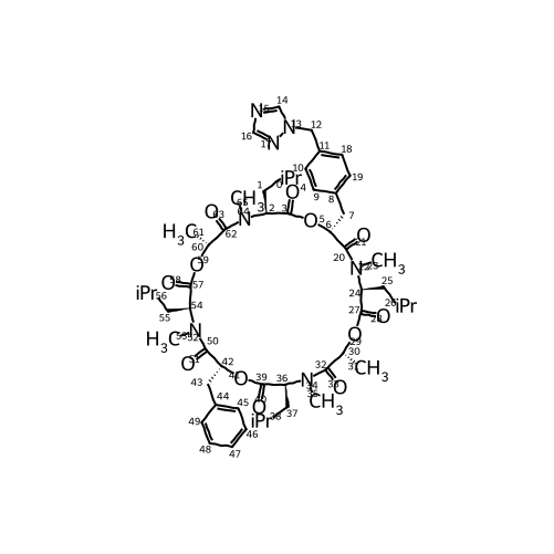 CC(C)C[C@H]1C(=O)O[C@H](Cc2ccc(Cn3cncn3)cc2)C(=O)N(C)[C@@H](CC(C)C)C(=O)O[C@H](C)C(=O)N(C)[C@@H](CC(C)C)C(=O)O[C@H](Cc2ccccc2)C(=O)N(C)[C@@H](CC(C)C)C(=O)O[C@H](C)C(=O)N1C